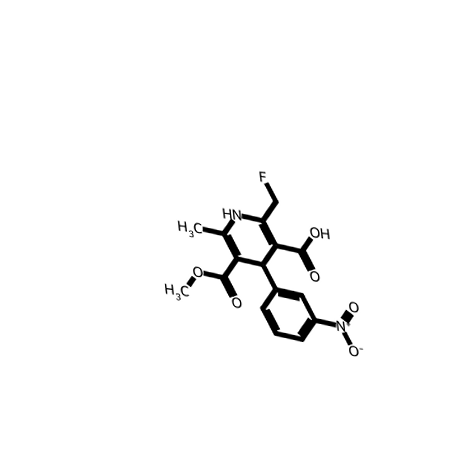 COC(=O)C1=C(C)NC(CF)=C(C(=O)O)C1c1cccc([N+](=O)[O-])c1